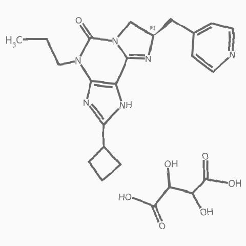 CCCN1C(=O)N2C[C@@H](Cc3ccncc3)N=C2c2[nH]c(C3CCC3)nc21.O=C(O)C(O)C(O)C(=O)O